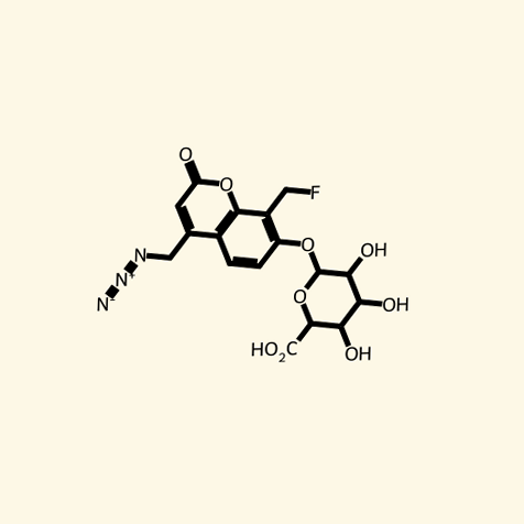 [N-]=[N+]=NCc1cc(=O)oc2c(CF)c(OC3OC(C(=O)O)C(O)C(O)C3O)ccc12